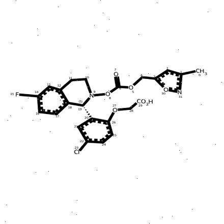 Cc1cc(COC(=O)ON2CCc3cc(F)ccc3[C@H]2c2cc(Cl)ccc2OCC(=O)O)on1